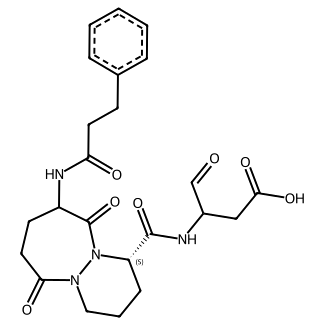 O=CC(CC(=O)O)NC(=O)[C@@H]1CCCN2C(=O)CCC(NC(=O)CCc3ccccc3)C(=O)N12